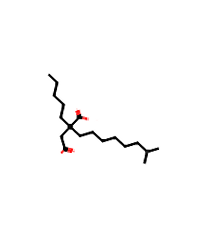 CCCCCC(CCCCCCC(C)C)(CC(=O)O)C(=O)O